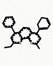 CCc1cc(-c2ccccc2)c2ccc3c(C4=CC=CCC4)cc(C)nc3c2n1